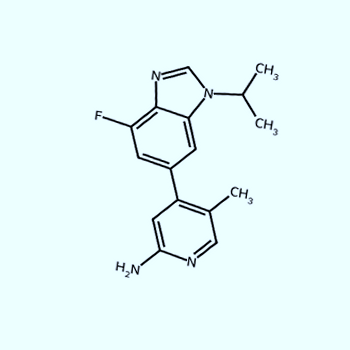 Cc1cnc(N)cc1-c1cc(F)c2ncn(C(C)C)c2c1